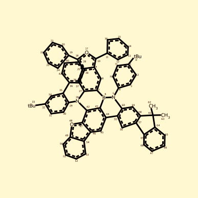 CC(C)(C)c1ccc(N2B3c4cc5c(-c6ccccc6)oc(-c6ccccc6)c5cc4N(c4ccc(C(C)(C)C)cc4-c4ccccc4)c4c3c(cc3c4oc4ccccc43)-c3cc4c(cc32)C(C)(C)c2ccccc2-4)cc1